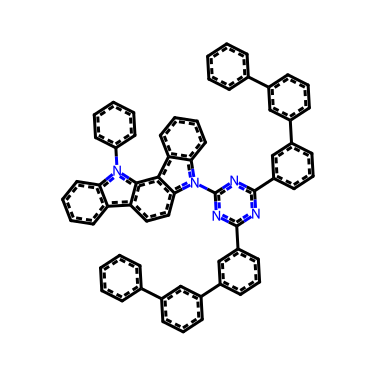 c1ccc(-c2cccc(-c3cccc(-c4nc(-c5cccc(-c6cccc(-c7ccccc7)c6)c5)nc(-n5c6ccccc6c6c5ccc5c7ccccc7n(-c7ccccc7)c56)n4)c3)c2)cc1